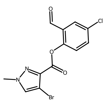 Cn1cc(Br)c(C(=O)Oc2ccc(Cl)cc2C=O)n1